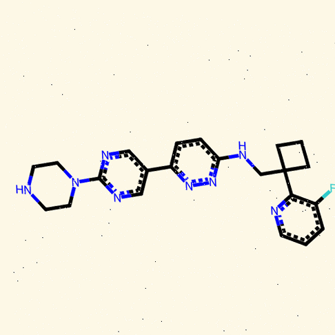 Fc1cccnc1C1(CNc2ccc(-c3cnc(N4CCNCC4)nc3)nn2)CCC1